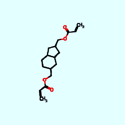 C=CC(=O)OCC1CCC2CC(COC(=O)C=C)CC2C1